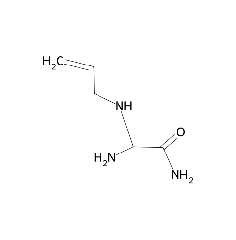 C=CCNC(N)C(N)=O